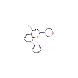 ClC1=CC(N2CCOCC2)Oc2c1cccc2-c1ccccc1